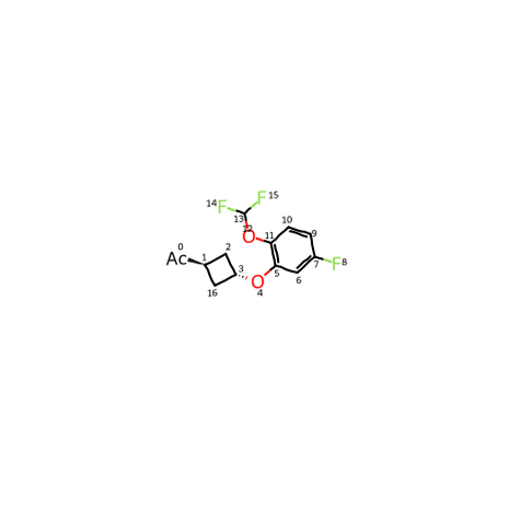 CC(=O)[C@H]1C[C@H](Oc2cc(F)ccc2OC(F)F)C1